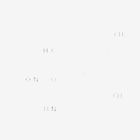 CC(O[N+](=O)[O-])C12CC3(C)CC(C)(CC(CN)(C3)C1)C2